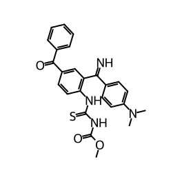 COC(=O)NC(=S)Nc1ccc(C(=O)c2ccccc2)cc1C(=N)c1ccc(N(C)C)cc1